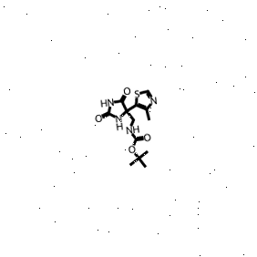 Cc1ncsc1C1(CNC(=O)OC(C)(C)C)NC(=O)NC1=O